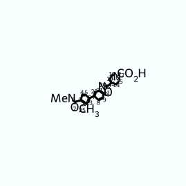 CNC(=O)c1ccc(-c2ccc3oc(C4CCN(C(=O)O)CC4)nc3c2)cc1C